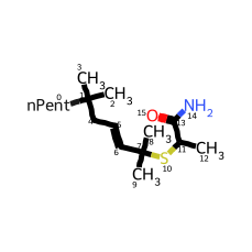 CCCCCC(C)(C)C/C=C/C(C)(C)SC(C)C(N)=O